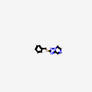 c1ccc(CSc2nc3cnccn3n2)cc1